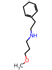 COCCCNCCC1=CC[CH]C=C1